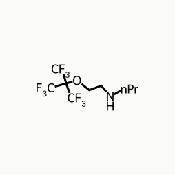 CCCNCCOC(C(F)(F)F)(C(F)(F)F)C(F)(F)F